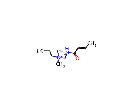 CC=CC(=O)NC[N+](C)(C)CCC